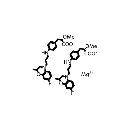 CO[C@@H](Cc1ccc(NCCCN2CC(C)Oc3cc(F)ccc32)cc1)C(=O)[O-].CO[C@@H](Cc1ccc(NCCCN2CC(C)Oc3cc(F)ccc32)cc1)C(=O)[O-].[Mg+2]